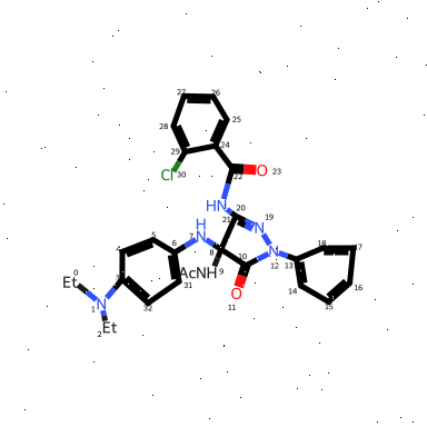 CCN(CC)c1ccc(NC2(NC(C)=O)C(=O)N(c3ccccc3)N=C2NC(=O)c2ccccc2Cl)cc1